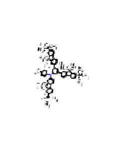 Cc1ccc(N(c2cc(-c3ccc4c(c3)C(C)(C)c3cc(C(C)(C)C)ccc3-4)c(C)c(-c3ccc4c(c3)C(C)(C)c3cc(C(C)(C)C)ccc3-4)c2)c2ccc3c(c2)C(C)(C)c2cc(C(C)(C)C)ccc2-3)cc1